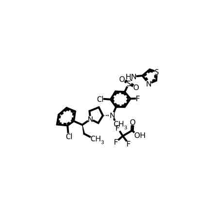 CC[C@@H](c1ccccc1Cl)N1CC[C@H](N(C)c2cc(F)c(S(=O)(=O)Nc3cscn3)cc2Cl)C1.O=C(O)C(F)(F)F